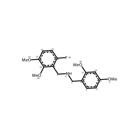 COc1ccc(CNCc2c(F)ccc(OC)c2OC)c(OC)c1